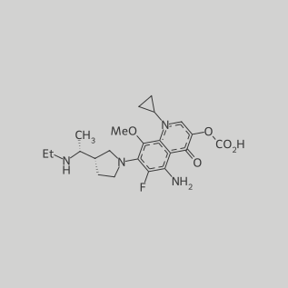 CCN[C@H](C)[C@H]1CCN(c2c(F)c(N)c3c(=O)c(OC(=O)O)cn(C4CC4)c3c2OC)C1